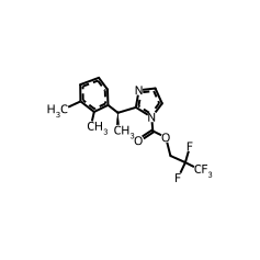 Cc1cccc([C@H](C)c2nccn2C(=O)OCC(F)(F)C(F)(F)F)c1C